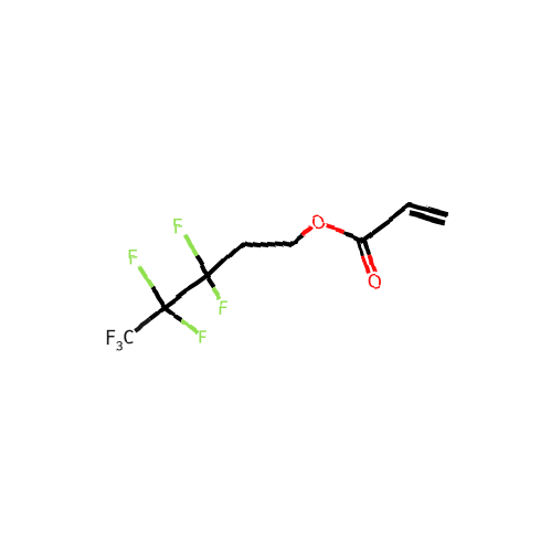 C=CC(=O)OCCC(F)(F)C(F)(F)C(F)(F)F